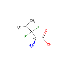 CC(C)C(F)(F)[C@H](N)C(=O)O